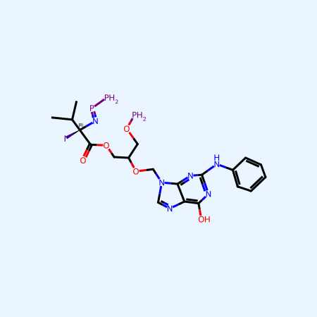 CC(C)[C@](I)(N=PP)C(=O)OCC(COP)OCn1cnc2c(O)nc(Nc3ccccc3)nc21